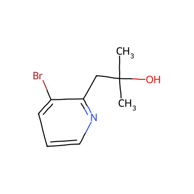 CC(C)(O)Cc1ncccc1Br